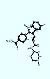 COC(=O)c1ccc(-c2c(/C=C/C(=O)N(C)C3CCN(C)CC3)c3cc(C)ccc3n2C)cc1